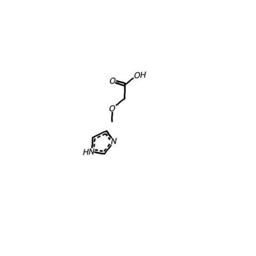 COCC(=O)O.c1c[nH]cn1